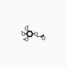 COc1cc(OC[C@H]2CO2)cc(OC)c1OC